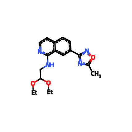 CCOC(CNc1nccc2ccc(-c3noc(C)n3)cc12)OCC